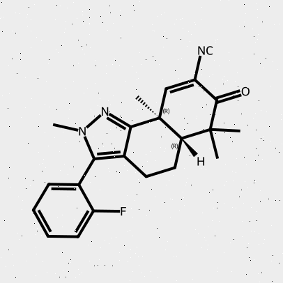 [C-]#[N+]C1=C[C@]2(C)c3nn(C)c(-c4ccccc4F)c3CC[C@H]2C(C)(C)C1=O